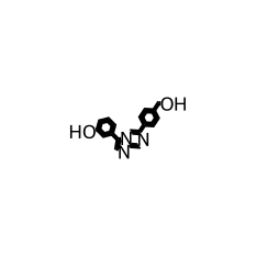 OCc1ccc(-c2cn3c(-c4cccc(O)c4)cnc3cn2)cc1